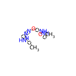 CCc1ccc(-c2nc3c(N4CCN(CCOc5ccc(NC(=O)Nc6ccccc6C)cc5)CC4)cccc3[nH]2)cc1